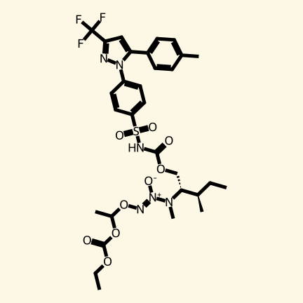 CCOC(=O)OC(C)O/N=[N+](\[O-])N(C)[C@H](COC(=O)NS(=O)(=O)c1ccc(-n2nc(C(F)(F)F)cc2-c2ccc(C)cc2)cc1)[C@H](C)CC